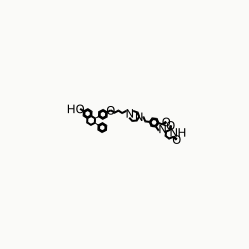 O=C1CC[C@H](N2Cc3cc(CCN4CCCN(CCCCOc5ccc([C@@H]6c7ccc(O)cc7CC[C@@H]6c6ccccc6)cc5)CC4)ccc3C2=O)C(=O)N1